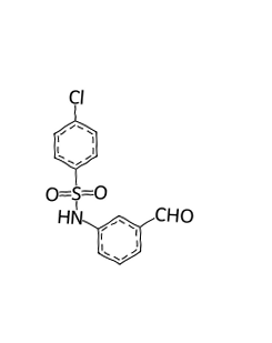 O=Cc1cccc(NS(=O)(=O)c2ccc(Cl)cc2)c1